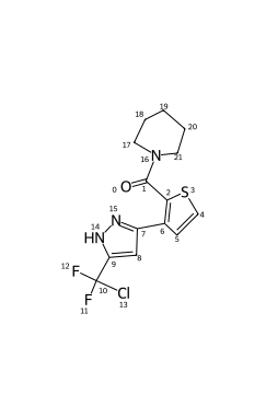 O=C(c1sccc1-c1cc(C(F)(F)Cl)[nH]n1)N1CCCCC1